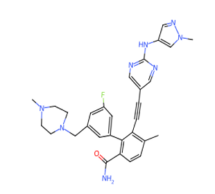 Cc1ccc(C(N)=O)c(-c2cc(F)cc(CN3CCN(C)CC3)c2)c1C#Cc1cnc(Nc2cnn(C)c2)nc1